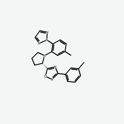 Cc1cccc(-c2noc([C@@H]3CCCN3c3cc(C)ccc3-n3nccn3)n2)c1